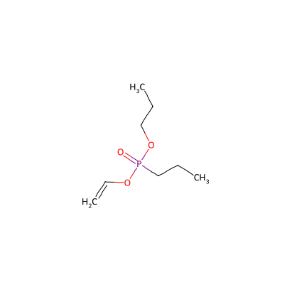 C=COP(=O)(CCC)OCCC